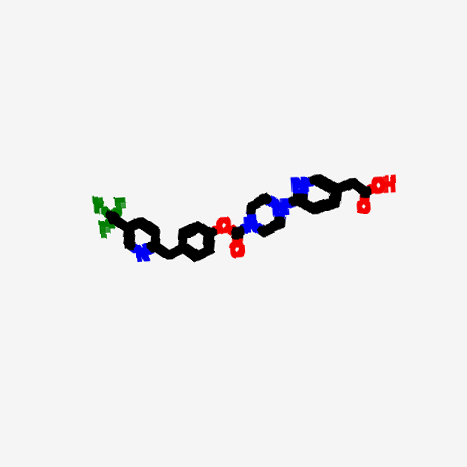 O=C(O)Cc1ccc(N2CCN(C(=O)Oc3ccc(Cc4ccc(C(F)(F)F)cn4)cc3)CC2)nc1